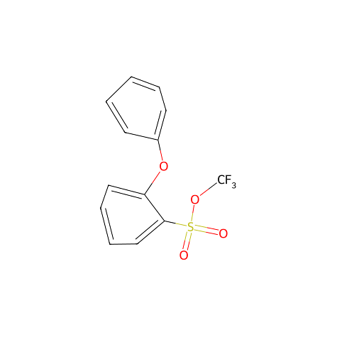 O=S(=O)(OC(F)(F)F)c1ccccc1Oc1ccccc1